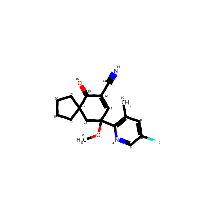 COC1(c2ncc(F)cc2C)C=C(C#N)C(=O)C2(CCCC2)C1